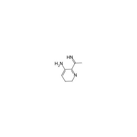 CC(=N)C1=NCCC=C1N